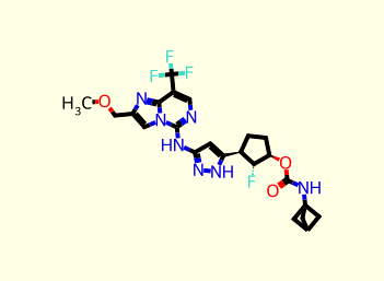 COCc1cn2c(Nc3cc([C@H]4CC[C@@H](OC(=O)NC56CC(C5)C6)[C@@H]4F)[nH]n3)ncc(C(F)(F)F)c2n1